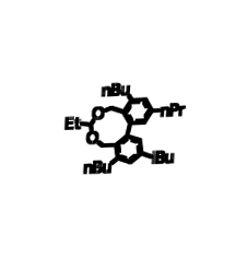 CCCCc1cc(CCC)cc2c1COC(CC)OCc1c(CCCC)cc(C(C)CC)cc1-2